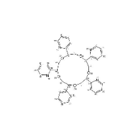 c1ccc(C2COC(c3ccccn3)COC(c3ccccn3)COC(c3ccccn3)COC(c3ccccn3)CO2)nc1